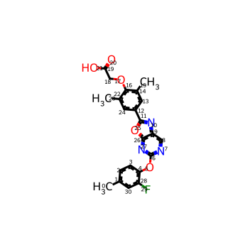 Cc1ccc(Oc2ncc3nc(-c4cc(C)c(OCC(=O)O)c(C)c4)oc3n2)c(F)c1